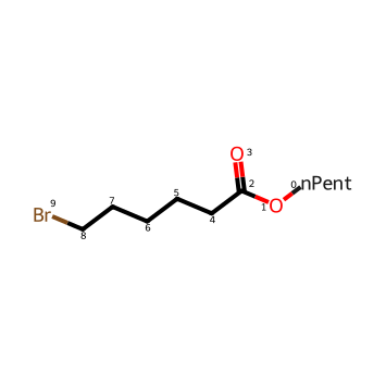 CCCCCOC(=O)CCCCCBr